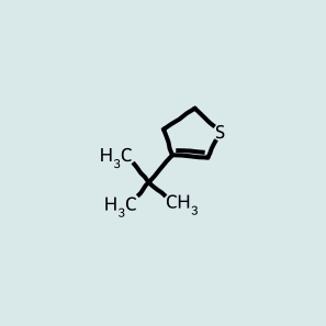 CC(C)(C)C1=CSCC1